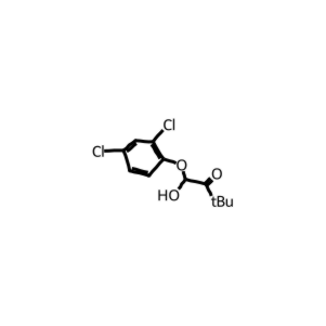 CC(C)(C)C(=O)C(O)Oc1ccc(Cl)cc1Cl